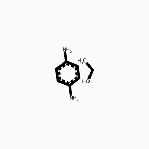 CCO.Nc1ccc(N)cc1